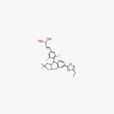 CCc1noc(-c2ccc3c(c2)CC(C)N(CC(C)(C)F)C3c2c(F)cc(/C=C/C(O)O)cc2F)n1